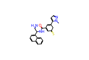 Cn1nccc1C1=CC(C(=O)NC(CN)c2cccc3ccccc23)=CC(=S)C1